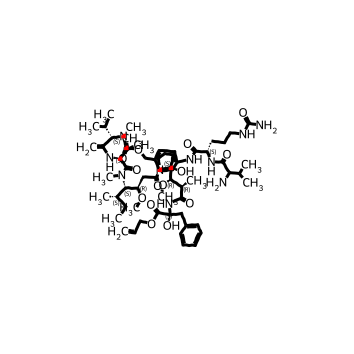 C=CCOC(=O)[C@@](O)(Cc1ccccc1)NC(=O)[C@H](C)[C@@H](OC)[C@@]1(O)CCCN1C(=O)C[C@@H](OC)[C@H]([C@@H](C)CC)N(C)C(=O)[C@@H](NC(=C)[C@H](C(C)C)N(C)C(=O)OCc1ccc(NC(=O)[C@H](CCCNC(N)=O)NC(=O)C(N)C(C)C)cc1)C(C)C